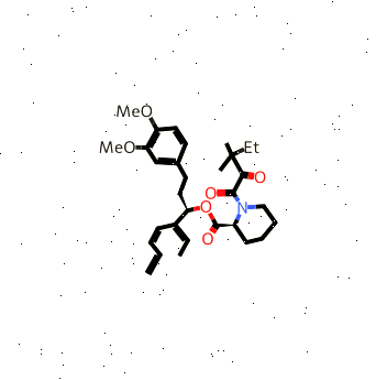 C=C/C=C\C(=C/C)[C@@H](CCc1ccc(OC)c(OC)c1)OC(=O)[C@@H]1CCCCN1C(=O)C(=O)C(C)(C)CC